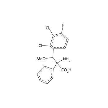 COC(c1ccc(F)c(Cl)c1Cl)C(N)(C(=O)O)c1ccccc1